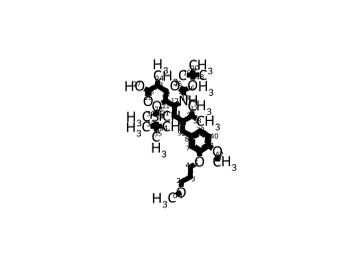 COCCCOc1cc(CC(CC(NC(=O)OC(C)(C)C)C(CC(C)C(=O)O)O[Si](C)(C)C(C)(C)C)C(C)C)ccc1OC